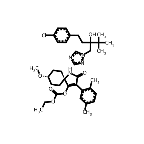 CC(C)(C)C(O)(CCc1ccc(Cl)cc1)Cn1cncn1.CCOC(=O)OC1=C(c2cc(C)ccc2C)C(=O)N[C@]12CC[C@@H](OC)CC2